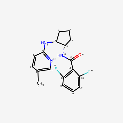 Cc1ccc(N[C@H]2CCC[C@@H]2NC(=O)c2c(F)cccc2F)nc1